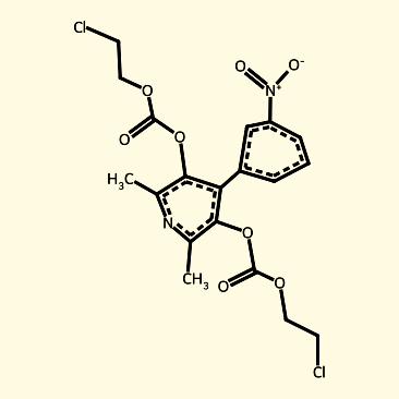 Cc1nc(C)c(OC(=O)OCCCl)c(-c2cccc([N+](=O)[O-])c2)c1OC(=O)OCCCl